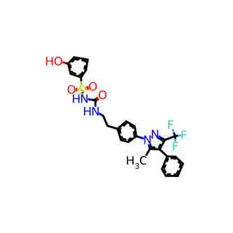 Cc1c(-c2ccccc2)c(C(F)(F)F)nn1-c1ccc(CCNC(=O)NS(=O)(=O)c2cccc(O)c2)cc1